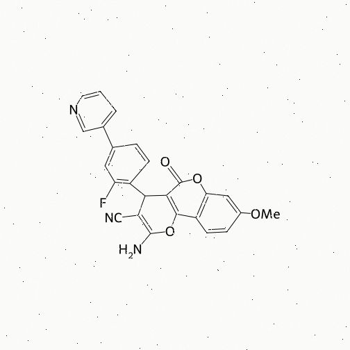 COc1ccc2c3c(c(=O)oc2c1)C(c1ccc(-c2cccnc2)cc1F)C(C#N)=C(N)O3